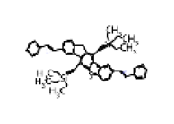 CC[Si](C#Cc1c2c(c(C#C[Si](CC)(CC)CC)c3c1sc1ccc(/C=C/c4ccccc4)cc13)Cc1ccc(/C=C/c3ccccc3)cc1-2)(CC)CC